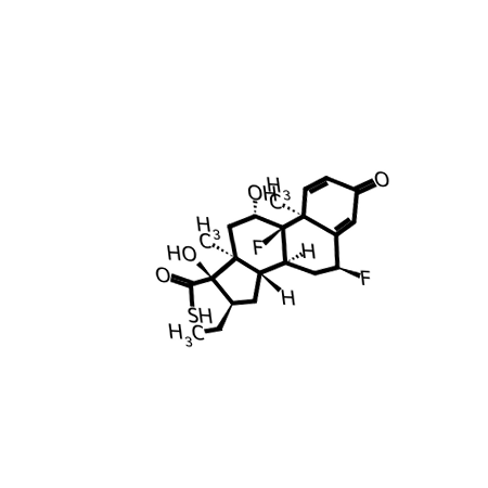 CC[C@@H]1C[C@H]2[C@@H]3C[C@H](F)C4=CC(=O)C=C[C@]4(C)[C@@]3(F)[C@@H](O)C[C@]2(C)[C@@]1(O)C(=O)S